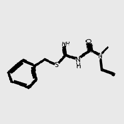 CCN(C)C(=O)NC(=N)SCc1ccccc1